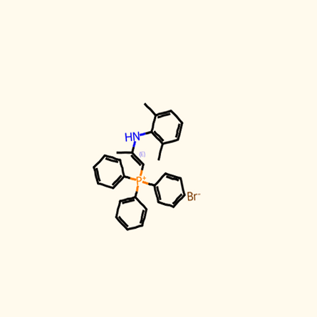 C/C(=C\[P+](c1ccccc1)(c1ccccc1)c1ccccc1)Nc1c(C)cccc1C.[Br-]